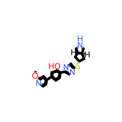 COc1cc(-c2ccc(-c3cnc(SC4C[C@H]5CNC[C@H]5C4)cn3)c(O)c2)ccn1